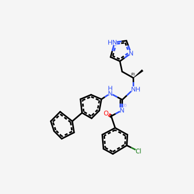 C[C@H](Cc1c[nH]cn1)N/C(=N/C(=O)c1cccc(Cl)c1)Nc1ccc(-c2ccccc2)cc1